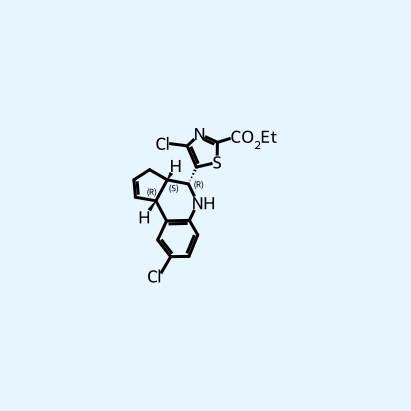 CCOC(=O)c1nc(Cl)c([C@@H]2Nc3ccc(Cl)cc3[C@@H]3C=CC[C@@H]32)s1